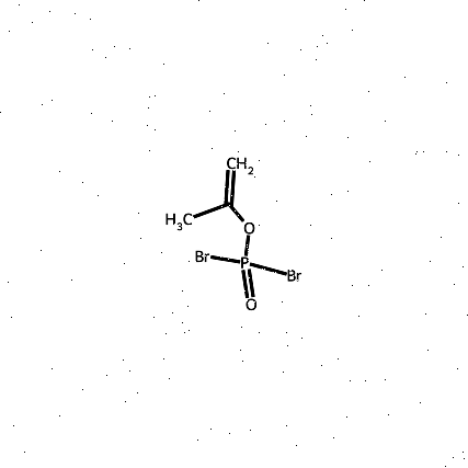 C=C(C)OP(=O)(Br)Br